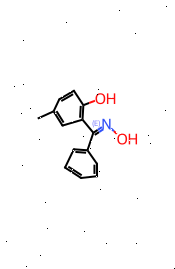 Cc1ccc(O)c(/C(=N/O)c2ccccc2)c1